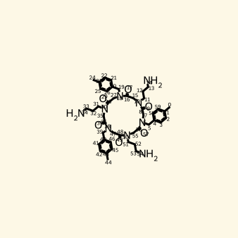 Cc1ccc(CN2CC(=O)N(CCCN)CC(=O)N(Cc3ccc(C)cc3)CC(=O)N(CCCN)CC(=O)N(Cc3ccc(C)cc3)CC(=O)N(CCCN)CC2=O)cc1